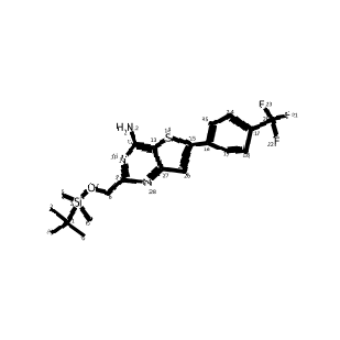 CC(C)(C)[Si](C)(C)OCc1nc(N)c2sc(-c3ccc(C(F)(F)F)cc3)cc2n1